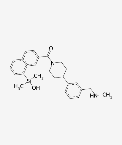 CNCc1cccc(C2CCN(C(=O)c3ccc4cccc([Si](C)(C)O)c4c3)CC2)c1